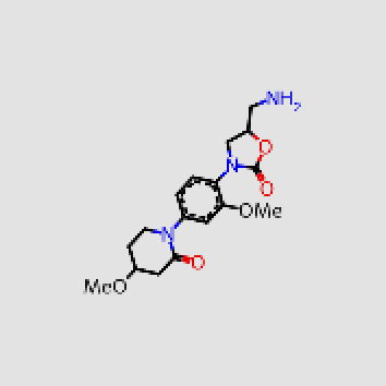 COc1cc(N2CCC(OC)CC2=O)ccc1N1CC(CN)OC1=O